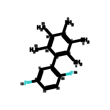 Bc1c(B)c(B)c(-c2cc(F)ccc2F)c(B)c1B